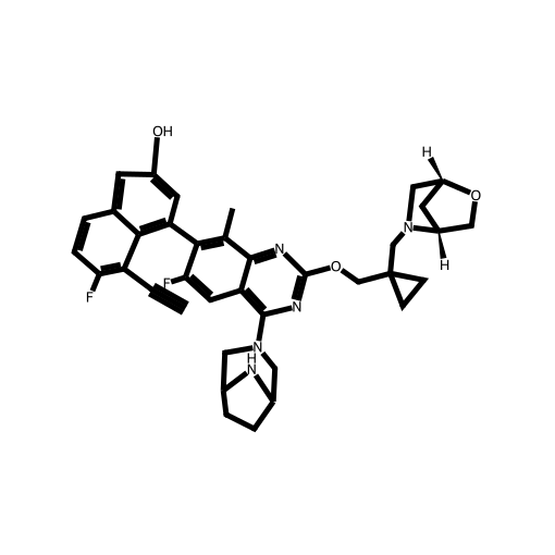 C#Cc1c(F)ccc2cc(O)cc(-c3c(F)cc4c(N5CC6CCC(C5)N6)nc(OCC5(CN6C[C@H]7C[C@@H]6CO7)CC5)nc4c3C)c12